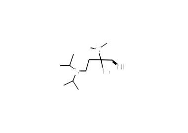 CC(C)N(CC[C]([Ta])(C=N)N(C)C)C(C)C